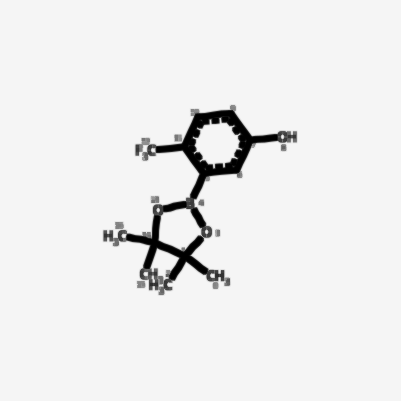 CC1(C)OB(c2cc(O)ccc2C(F)(F)F)OC1(C)C